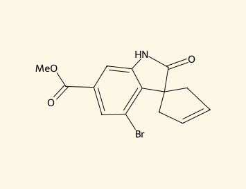 COC(=O)c1cc(Br)c2c(c1)NC(=O)C21CC=CC1